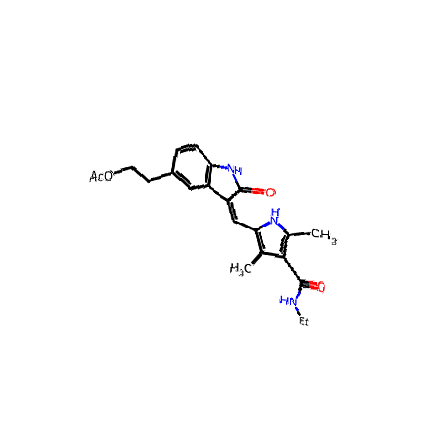 CCNC(=O)c1c(C)[nH]c(/C=C2\C(=O)Nc3ccc(CCOC(C)=O)cc32)c1C